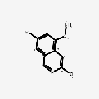 NSc1cc(Br)cc2cnc(Cl)cc12